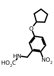 O=C(O)NCc1cc(OC2CCCC2)ccc1[N+](=O)[O-]